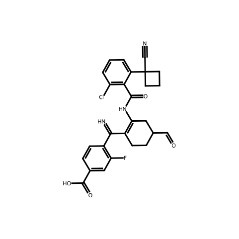 N#CC1(c2cccc(Cl)c2C(=O)NC2=C(C(=N)c3ccc(C(=O)O)cc3F)CCC(C=O)C2)CCC1